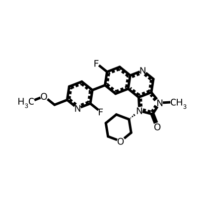 COCc1ccc(-c2cc3c(cc2F)ncc2c3n([C@H]3CCCOC3)c(=O)n2C)c(F)n1